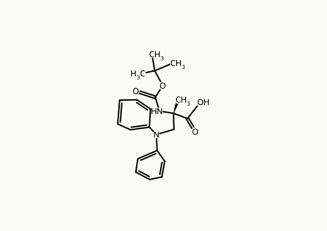 CC(C)(C)OC(=O)N[C@@](C)(CN(c1ccccc1)c1ccccc1)C(=O)O